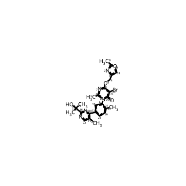 Cc1nc(COc2nc(C)n(-c3cc(-c4nc(C(C)(C)O)ncc4C)ccc3C)c(=O)c2Br)co1